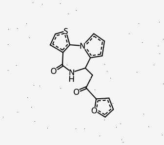 O=C(CC1NC(=O)c2ccsc2-n2cccc21)c1ccco1